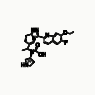 CCOc1cc2nc(-c3nnc4ccc(C(C)N(C(=O)O)[C@H]5CCNC5)cn34)ccc2cc1F